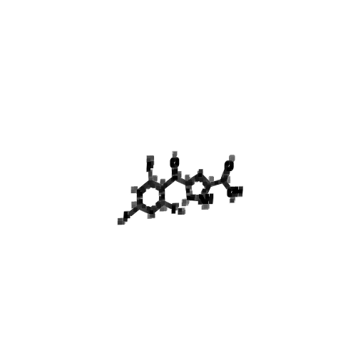 O=C(O)c1cc(C(=O)c2c(F)cc(F)cc2F)c[nH]1